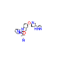 CC(C)(C#N)C(=O)N1CC2CCC(C1)N2Cc1ccc2cc(Oc3ccc(-c4ccn[nH]4)cn3)ccc2n1